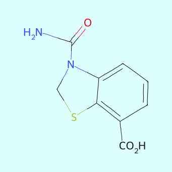 NC(=O)N1CSc2c(C(=O)O)cccc21